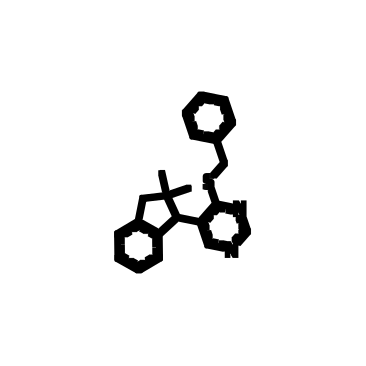 CC1(C)Cc2ccccc2C1c1cncnc1SCc1ccccc1